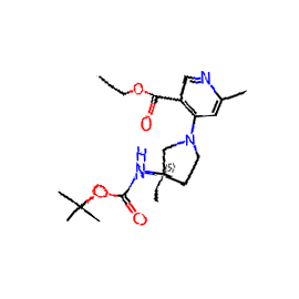 CCOC(=O)c1cnc(C)cc1N1CC[C@](C)(NC(=O)OC(C)(C)C)C1